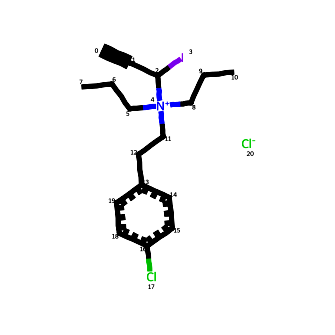 C#CC(I)[N+](CCC)(CCC)CCc1ccc(Cl)cc1.[Cl-]